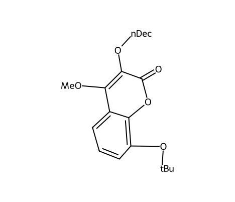 CCCCCCCCCCOc1c(OC)c2cccc(OC(C)(C)C)c2oc1=O